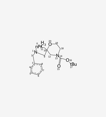 CCCN(Cc1ccccc1)CC1(C)CN(C(=O)OC(C)(C)C)CCO1